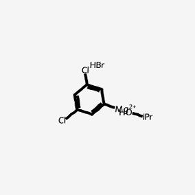 Br.CC(C)O.[Mg+2][c]1cc(Cl)cc(Cl)c1